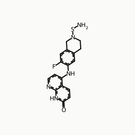 NSN1CCc2cc(Nc3ccnc4[nH]c(=O)ccc34)c(F)cc2C1